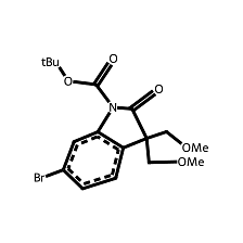 COCC1(COC)C(=O)N(C(=O)OC(C)(C)C)c2cc(Br)ccc21